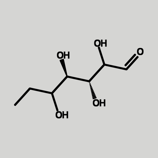 CCC(O)[C@@H](O)[C@@H](O)C(O)C=O